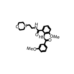 COc1cccc(C(=O)Nc2c(OC)cccc2C(=O)NCCN2CCOCC2)c1